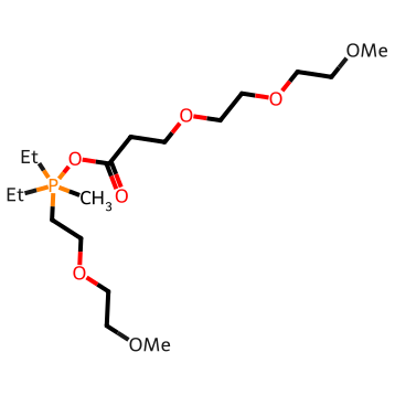 CCP(C)(CC)(CCOCCOC)OC(=O)CCOCCOCCOC